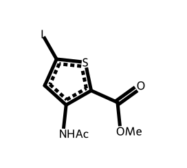 COC(=O)c1sc(I)cc1NC(C)=O